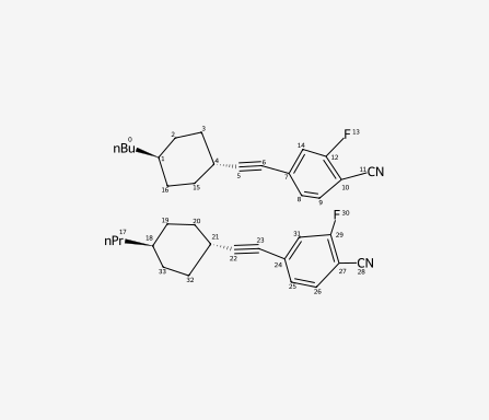 CCCC[C@H]1CC[C@H](C#Cc2ccc(C#N)c(F)c2)CC1.CCC[C@H]1CC[C@H](C#Cc2ccc(C#N)c(F)c2)CC1